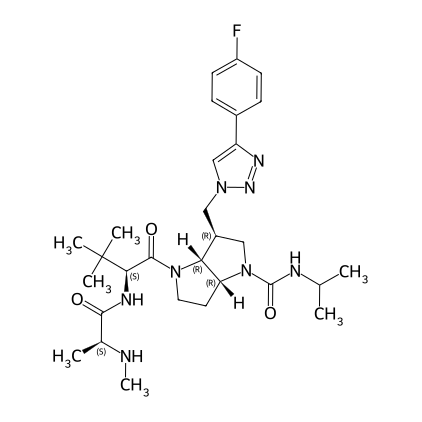 CN[C@@H](C)C(=O)N[C@H](C(=O)N1CC[C@@H]2[C@H]1[C@@H](Cn1cc(-c3ccc(F)cc3)nn1)CN2C(=O)NC(C)C)C(C)(C)C